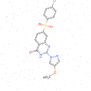 O=C(O)Oc1cnn(-c2nc3cc(S(=O)(=O)c4ccc(Cl)cc4)ccc3c(=O)[nH]2)c1